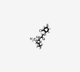 Cn1nc(C(F)(F)F)nc1NC(=O)COc1ccc(F)cc1Cl